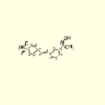 CC(=NO)c1cccc(C#Cc2ccc(C(F)(F)F)cc2)c1